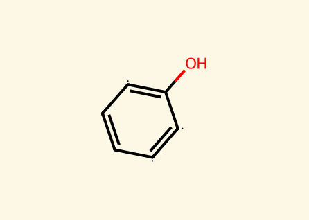 Oc1[c][c]cc[c]1